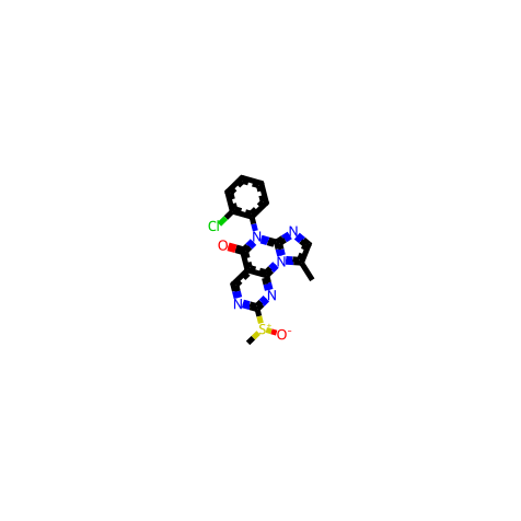 Cc1cnc2n(-c3ccccc3Cl)c(=O)c3cnc([S+](C)[O-])nc3n12